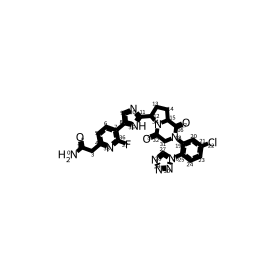 NC(=O)Cc1ccc(-c2cnc(C3CCC4C(=O)N(c5cc(Cl)ccc5-n5cnnn5)CC(=O)N43)[nH]2)c(F)n1